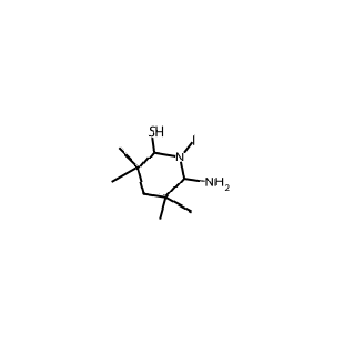 CC1(C)CC(C)(C)C(S)N(I)C1N